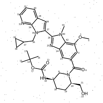 COc1cc(C(=O)N2C[C@H](NC(=O)OC(C)(C)C)CC[C@@H]2CO)cc2nc(-c3cc4cccnc4n3CC3CC3)n(C)c12